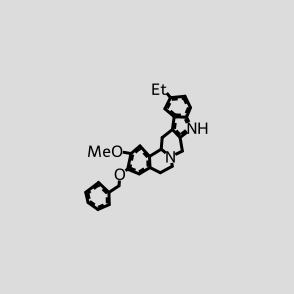 CCc1ccc2[nH]c3c(c2c1)CC1c2cc(OC)c(OCc4ccccc4)cc2CCN1C3